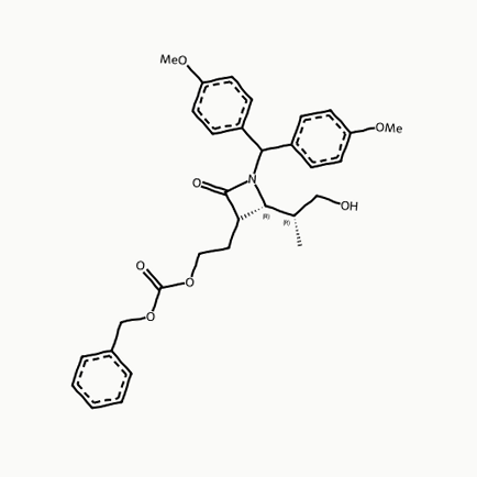 COc1ccc(C(c2ccc(OC)cc2)N2C(=O)C(CCOC(=O)OCc3ccccc3)[C@H]2[C@@H](C)CO)cc1